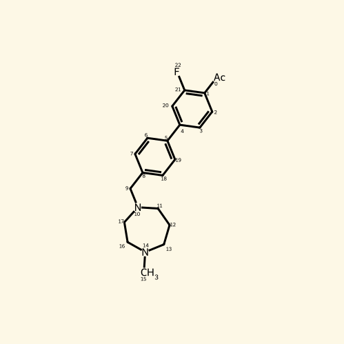 CC(=O)c1ccc(-c2ccc(CN3CCCN(C)CC3)cc2)cc1F